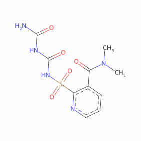 CN(C)C(=O)c1cccnc1S(=O)(=O)NC(=O)NC(N)=O